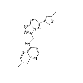 Cc1cnc2c(NCc3nnc4ccc(-c5cc(C)ns5)nn34)ccnc2c1